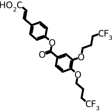 O=C(O)C=Cc1ccc(OC(=O)c2ccc(OCCCC(F)(F)F)c(OCCCC(F)(F)F)c2)cc1